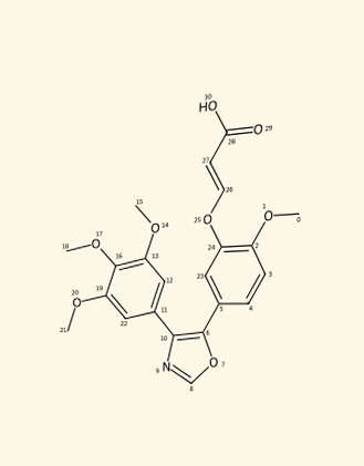 COc1ccc(-c2ocnc2-c2cc(OC)c(OC)c(OC)c2)cc1O/C=C/C(=O)O